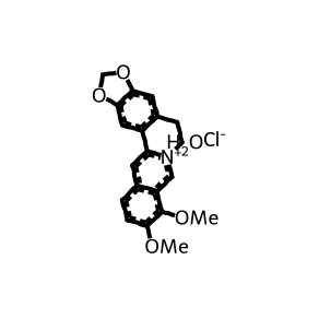 COc1ccc2cc3[n+](cc2c1OC)CCc1cc2c(cc1-3)OCO2.O.[Cl-]